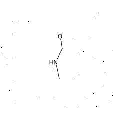 CNC[O]